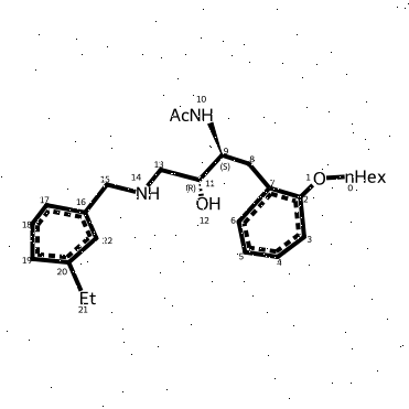 CCCCCCOc1ccccc1C[C@H](NC(C)=O)[C@H](O)CNCc1cccc(CC)c1